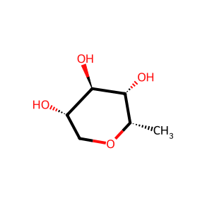 C[C@@H]1OC[C@H](O)[C@@H](O)[C@@H]1O